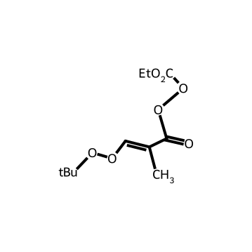 CCOC(=O)OOC(=O)C(C)=COOC(C)(C)C